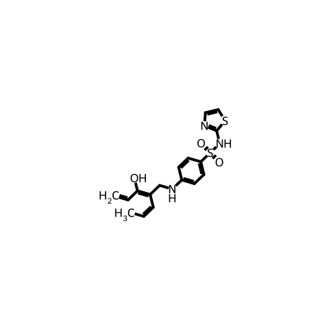 C=C/C(O)=C(\C=C/C)CNc1ccc(S(=O)(=O)Nc2nccs2)cc1